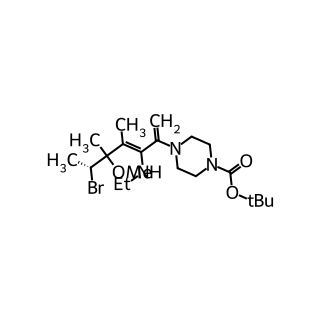 C=C(/C(NCC)=C(\C)C(C)(OC)[C@@H](C)Br)N1CCN(C(=O)OC(C)(C)C)CC1